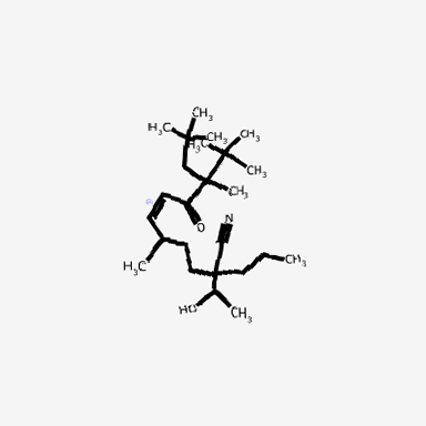 CCCC(C#N)(CCC(C)/C=C\C(=O)C(C)(CC(C)(C)C)C(C)(C)C)C(C)O